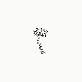 CN(Cc1c(C=O)cccc1NCCOCCOCCOCCO)C1CCC(=O)NC1=O